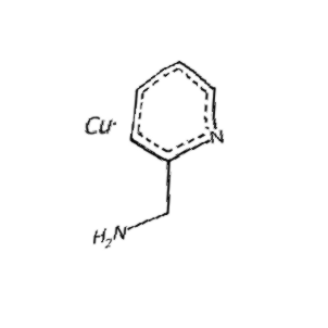 NCc1ccccn1.[Cu]